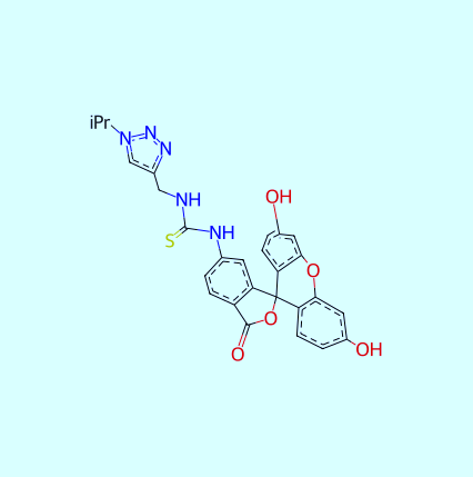 CC(C)n1cc(CNC(=S)Nc2ccc3c(c2)C2(OC3=O)c3ccc(O)cc3Oc3cc(O)ccc32)nn1